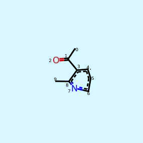 CC(=O)c1[c]ccnc1C